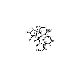 Br.CC1=C(P(C)(c2ccccc2)(c2ccccc2)c2ccccc2)C(C)(C)CC1=O